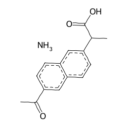 CC(=O)c1ccc2cc(C(C)C(=O)O)ccc2c1.N